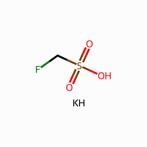 O=S(=O)(O)CF.[KH]